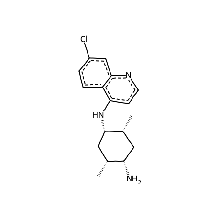 C[C@@H]1C[C@H](N)[C@H](C)C[C@@H]1Nc1ccnc2cc(Cl)ccc12